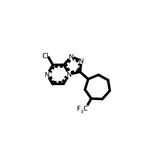 FC(F)(F)C1CCCCC(c2nnc3c(Cl)nccn23)C1